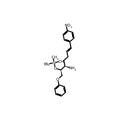 CC(C)(C)[Si](C)(C)O[C@H](COc1ccccc1)[C@H](N)CCC=Cc1ccc([N+](=O)[O-])cc1